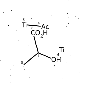 CC(O)C(=O)O.C[C](=O)[Ti].[Ti]